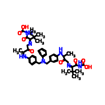 CC(Nc1ccc(CN(Cc2ccc(N[C@@H](C)C(=O)CN=C(C(=O)NC(=O)O)C(C)(C)C)cc2)c2ccccc2)cc1)C(=O)CN=C(C(=O)NC(=O)O)C(C)(C)C